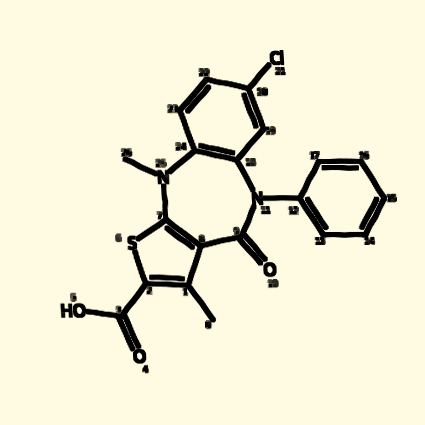 Cc1c(C(=O)O)sc2c1C(=O)N(c1ccccc1)c1cc(Cl)ccc1N2C